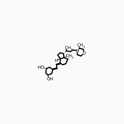 CC(CCN1CCOC[C@@H]1C)[C@H]1CC[C@H]2/C(=C/C=C3C[C@@H](O)C[C@H](O)C3)CCC[C@]12C